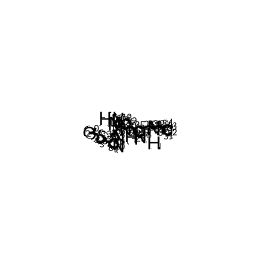 CC(=O)c1ccc(-c2ccnc3[nH]c(-c4n[nH]c5ccc(-c6cncc(CNCc7ccccc7)c6)nc45)cc23)s1